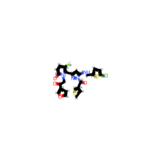 O=C(Cn1c(-c2cc(NCc3ccc(Cl)s3)n(C(=O)c3ccsc3)n2)c(F)ccc1=O)c1ccoc1